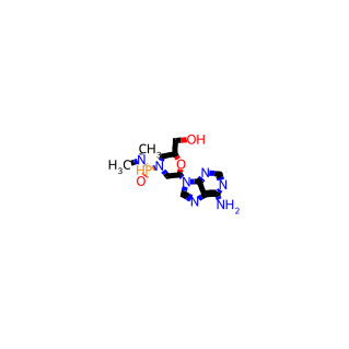 CN(C)[PH](=O)N1CC(CO)OC(n2cnc3c(N)ncnc32)C1